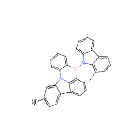 Cc1cccc2c3ccccc3n(B3c4ccccc4-n4c5cc(C#N)ccc5c5cccc3c54)c12